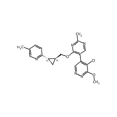 COc1nncc(-c2cnc(C)nc2OC[C@H]2C[C@@H]2c2ccc(C)cn2)c1Cl